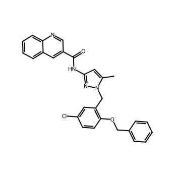 Cc1cc(NC(=O)c2cnc3ccccc3c2)nn1Cc1cc(Cl)ccc1OCc1ccccc1